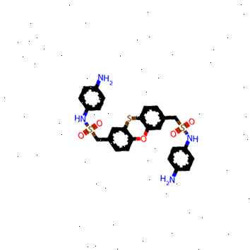 Nc1ccc(NS(=O)(=O)Cc2ccc3c(c2)Oc2ccc(CS(=O)(=O)Nc4ccc(N)cc4)cc2S3)cc1